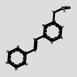 [CH2]OCc1cccc(/C=C/c2ccccc2)c1